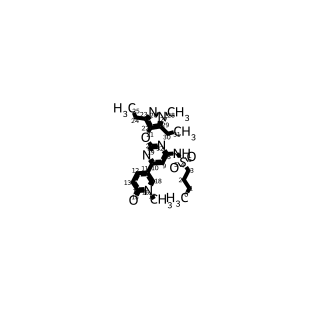 CCCCS(=O)(=O)Nc1cc(-c2ccc(=O)n(C)c2)nc(Oc2c(CC)nn(C)c2CC)n1